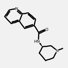 CN1CCC[C@@H](NC(=O)c2ccc3ncccc3c2)C1